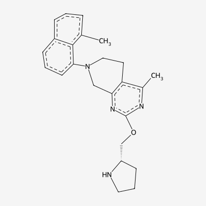 Cc1nc(OC[C@@H]2CCCN2)nc2c1CCN(c1cccc3cccc(C)c13)C2